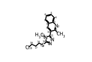 Cc1nc2ccccc2cc1-c1nnc(SCCCCl)n1C